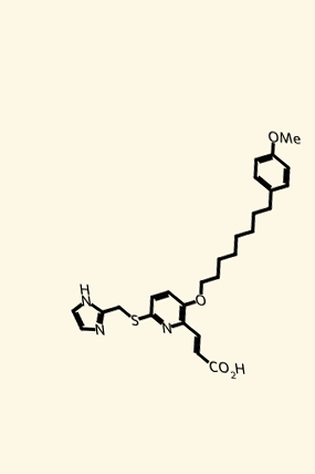 COc1ccc(CCCCCCCCOc2ccc(SCc3ncc[nH]3)nc2C=CC(=O)O)cc1